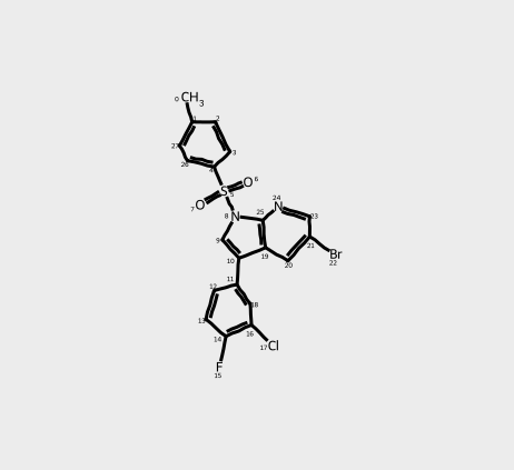 Cc1ccc(S(=O)(=O)n2cc(-c3ccc(F)c(Cl)c3)c3cc(Br)cnc32)cc1